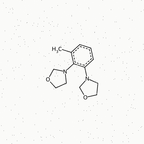 Cc1cccc(N2CCOC2)c1N1CCOC1